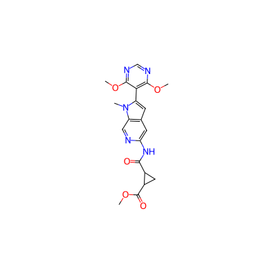 COC(=O)C1CC1C(=O)Nc1cc2cc(-c3c(OC)ncnc3OC)n(C)c2cn1